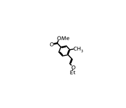 CCOC=Cc1ccc(C(=O)OC)cc1C